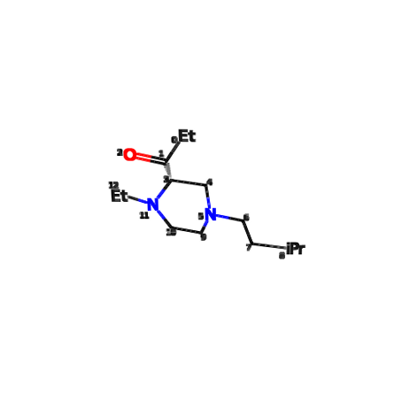 CCC(=O)[C@@H]1CN(CCC(C)C)CCN1CC